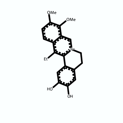 CCc1c2[n+](cc3c(OC)c(OC)ccc13)CCc1cc(O)c(O)cc1-2